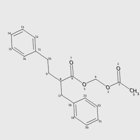 CC(=O)OCOC(=O)C(CCc1ccccc1)Cc1ccccc1